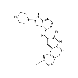 CC(C)c1[nH]c(=O)c(-c2cc(Cl)ccc2F)cc1Nc1ccnc2[nH]c(N3CCNCC3)cc12